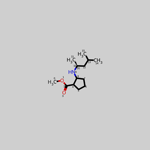 COC(=O)C1CCCC1N[C@@H](C)CC(C)C